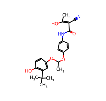 CC(O)=C(C#N)C(=O)Nc1ccc(OC(C)Oc2ccc(O)c(C(C)(C)C)c2)cc1